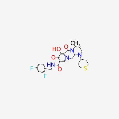 CC1CCN(C2CCSCC2)C2Cn3cc(C(=O)NCc4ccc(F)cc4F)c(=O)c(O)c3C(=O)N12